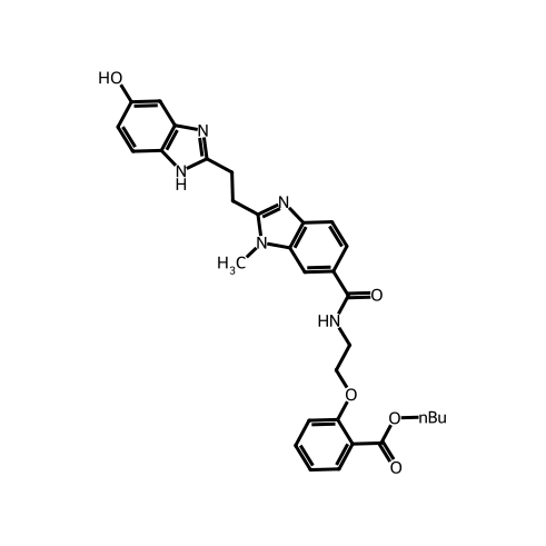 CCCCOC(=O)c1ccccc1OCCNC(=O)c1ccc2nc(CCc3nc4cc(O)ccc4[nH]3)n(C)c2c1